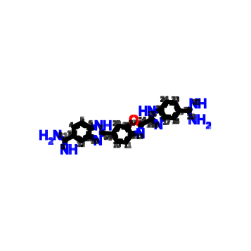 N=C(N)c1ccc2[nH]c(-c3ccc4nc(-c5nc6cc(C(=N)N)ccc6[nH]5)oc4c3)nc2c1